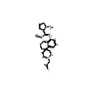 CCN(C(=O)C1CCCN1C(C)=O)[C@H]1CCC2(CCN(CCC(C)(C)C)CC2)c2ccccc21